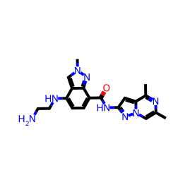 Cc1cn2nc(NC(=O)c3ccc(NCCN)c4cn(C)nc34)cc2c(C)n1